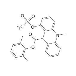 Cc1cccc(C)c1OC(=O)C1c2ccccc2N(C)c2cccc(OS(=O)(=O)C(F)(F)F)c21